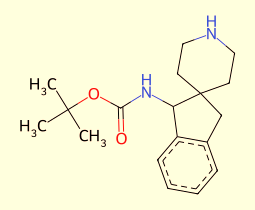 CC(C)(C)OC(=O)NC1c2ccccc2CC12CCNCC2